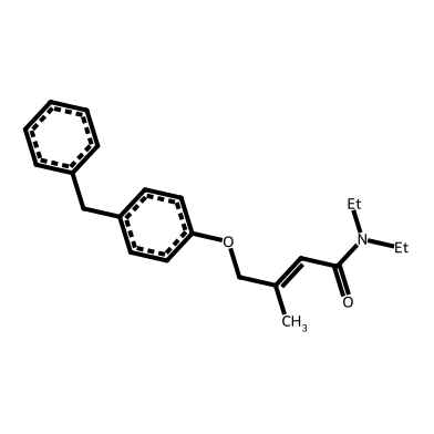 CCN(CC)C(=O)C=C(C)COc1ccc(Cc2ccccc2)cc1